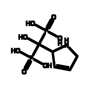 O=P(O)(O)C(O)(C1C=CCN1)P(=O)(O)O